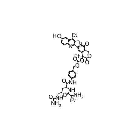 CCc1c2c(nc3ccc(O)cc13)-c1cc3c(c(=O)n1C2)COC(=O)[C@@]3(CC)OC(=O)OCc1ccc(NC(=O)[C@H](CCCNC(N)=O)NC(=O)[C@@H](N)C(C)C)cc1